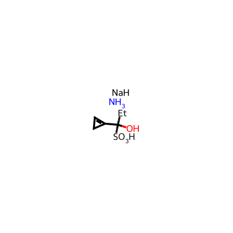 CCC(O)(C1=CC1)S(=O)(=O)O.N.[NaH]